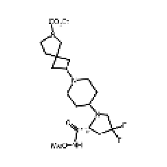 CCOC(=O)N1CCC2(CC(N3CCC(N4CC(F)(F)C[C@@H]4C(=O)NOC)CC3)C2)C1